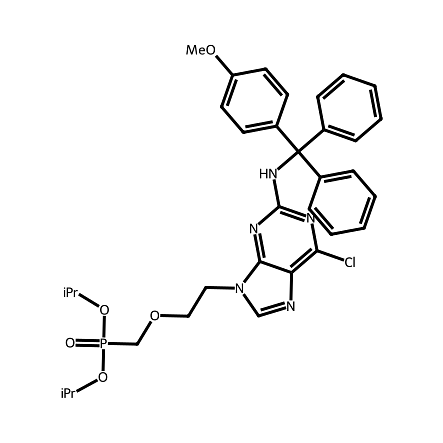 COc1ccc(C(Nc2nc(Cl)c3ncn(CCOCP(=O)(OC(C)C)OC(C)C)c3n2)(c2ccccc2)c2ccccc2)cc1